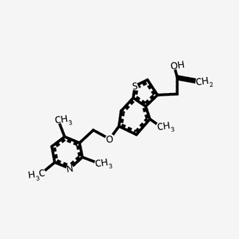 C=C(O)Cc1csc2cc(OCc3c(C)cc(C)nc3C)cc(C)c12